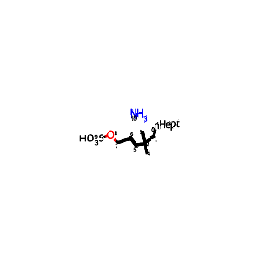 CCCCCCCCC(C)(C)CCCOS(=O)(=O)O.N